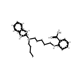 CCCCN(CCCCCSc1ccccc1C(=O)O)c1nc2ccccc2o1